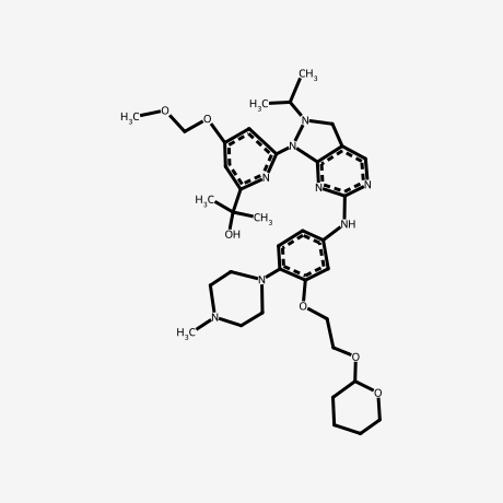 COCOc1cc(N2c3nc(Nc4ccc(N5CCN(C)CC5)c(OCCOC5CCCCO5)c4)ncc3CN2C(C)C)nc(C(C)(C)O)c1